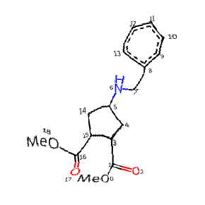 COC(=O)C1CC(NCc2ccccc2)CC1C(=O)OC